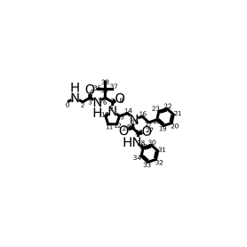 CNCC(=O)NC(C(=O)N1CCCC1CN(CCc1ccccc1)C(=O)C(=O)Nc1ccccc1)C(C)(C)C